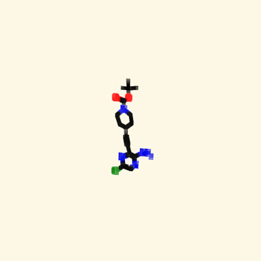 CC(C)(C)OC(=O)N1CCC(C#Cc2nc(Cl)cnc2N)CC1